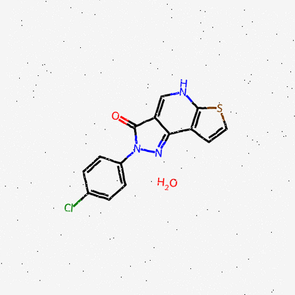 O.O=c1c2c[nH]c3sccc3c-2nn1-c1ccc(Cl)cc1